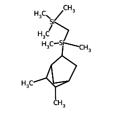 CC1C2CC(C1C)C([Si](C)(C)C[Si](C)(C)C)C2